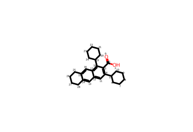 O=C(O)c1c(C2CCCCC2)cc2cc3c(cc2c1C1CCCCC1)CCCC3